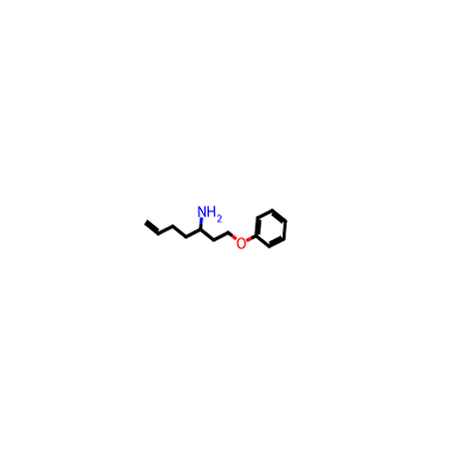 C=CCCC(N)CCOc1ccccc1